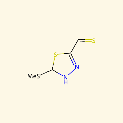 CSC1NN=C(C=S)S1